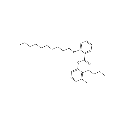 CCCCCCCCCCOc1ccccc1C(=O)Oc1cccc(C)c1CCCC